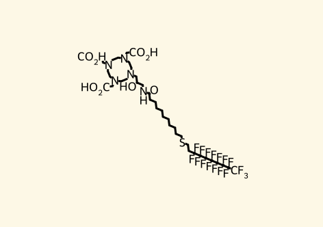 O=C(O)CN1CCN(CC(=O)O)CCN(CC(O)CNC(=O)CCCCCCCCCCSCCC(F)(F)C(F)(F)C(F)(F)C(F)(F)C(F)(F)C(F)(F)C(F)(F)C(F)(F)F)CCN(CC(=O)O)CC1